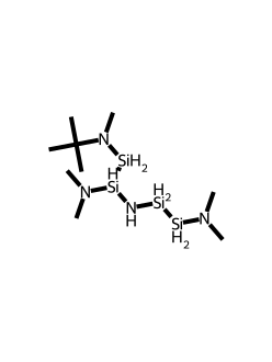 CN(C)[SiH2][SiH2]N[SiH]([SiH2]N(C)C(C)(C)C)N(C)C